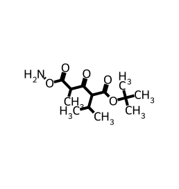 CC(C(=O)ON)C(=O)C(C(=O)OC(C)(C)C)C(C)C